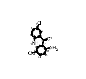 Nc1ccc(Cl)cc1C(=O)c1cc(Cl)ccc1N